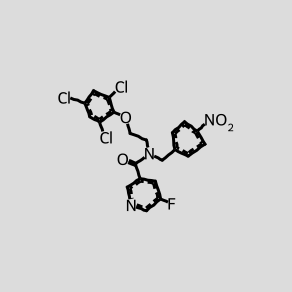 O=C(c1cncc(F)c1)N(CCOc1c(Cl)cc(Cl)cc1Cl)Cc1ccc([N+](=O)[O-])cc1